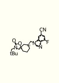 CC(C)(C)CN1C[C@@]2(CCC[C@H](Cn3cnc4c(F)cc(C#N)cc43)C2)OC1=O